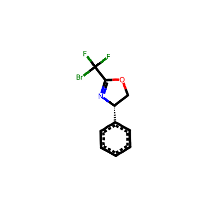 FC(F)(Br)C1=N[C@@H](c2ccccc2)CO1